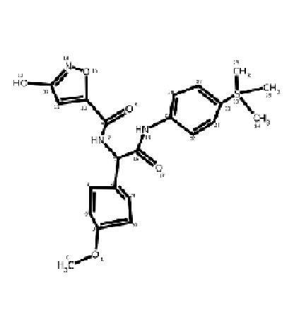 COc1ccc(C(NC(=O)c2cc(O)no2)C(=O)Nc2ccc(S(C)(C)C)cc2)cc1